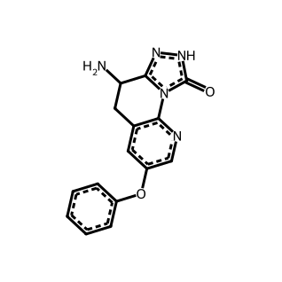 NC1Cc2cc(Oc3ccccc3)cnc2-n2c1n[nH]c2=O